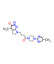 Cc1cnc(N2CCN(C(=O)CCCN3CCc4c3n[nH]c(=O)c4C)CC2)nc1